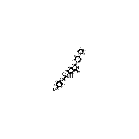 Cc1nc(N2CCC(N3CCCC3)CC2)nc2ncc(NC(=O)COc3ccc(Br)cc3)cc12